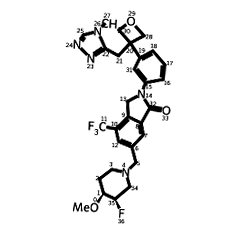 CO[C@H]1CCN(Cc2cc3c(c(C(F)(F)F)c2)CN(c2cccc(C4(Cc5nncn5C)COC4)c2)C3=O)C[C@H]1F